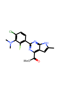 COC(=O)c1nc(-c2ccc(Cl)c(N(C)C)c2F)nc2[nH]c(C)cc12